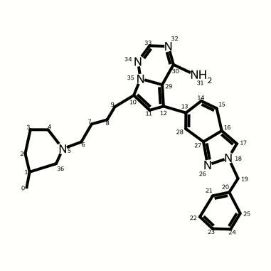 CC1CCCN(CCCCc2cc(-c3ccc4cn(Cc5ccccc5)nc4c3)c3c(N)ncnn23)C1